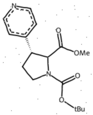 COC(=O)C1[C@@H](c2ccncc2)CCN1C(=O)OC(C)(C)C